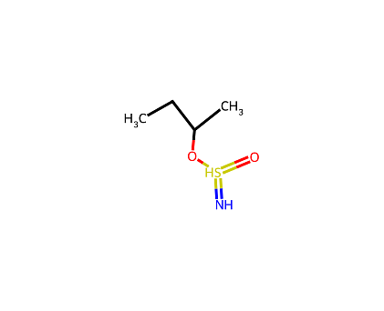 CCC(C)O[SH](=N)=O